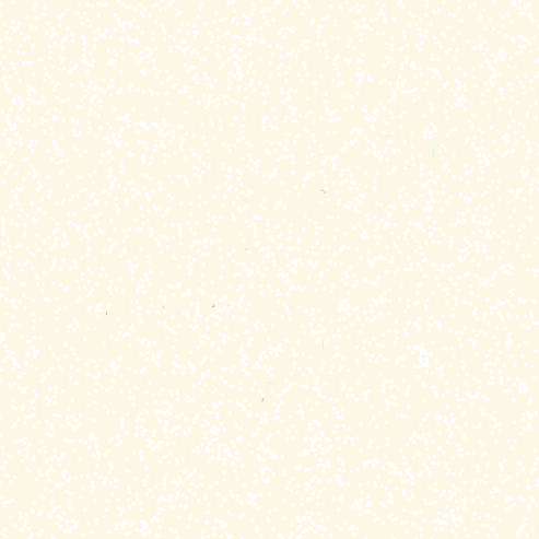 CCOCOc1ccc(-c2ccc(C(F)(F)F)cc2)cc1C(S)CC